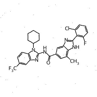 Cc1cc(C(=O)Nc2nc3cc(C(F)(F)F)ccc3n2C2CCCCC2)cc2nc(-c3c(F)cccc3Cl)[nH]c12